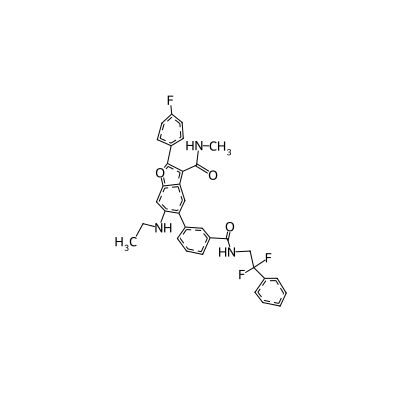 CCNc1cc2oc(-c3ccc(F)cc3)c(C(=O)NC)c2cc1-c1cccc(C(=O)NCC(F)(F)c2ccccc2)c1